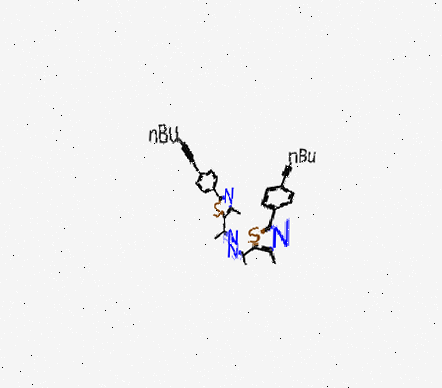 CCCCC#Cc1ccc(-c2nc(C)c(/C(C)=N\N=C(/C)c3sc(-c4ccc(C#CCCCC)cc4)nc3C)s2)cc1